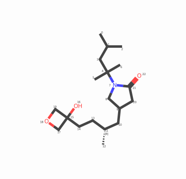 CC(C)CC(C)(C)N1CC(C[C@H](C)CCC2(O)COC2)CC1=O